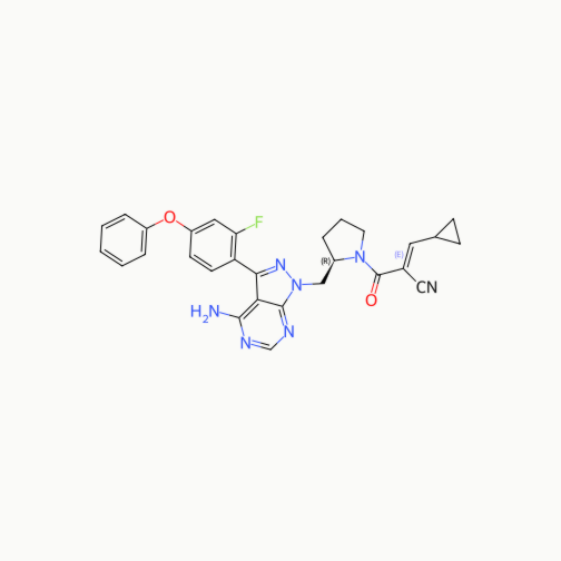 N#C/C(=C\C1CC1)C(=O)N1CCC[C@@H]1Cn1nc(-c2ccc(Oc3ccccc3)cc2F)c2c(N)ncnc21